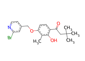 Cc1c(OCc2ccnc(Br)c2)ccc(C(=O)CC(C)(C)C)c1O